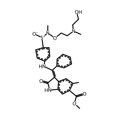 COC(=O)c1cc2c(cc1C)/C(=C(/Nc1ccc([S+]([O-])N(C)OCCN(C)CCO)cc1)c1ccccc1)C(=O)N2